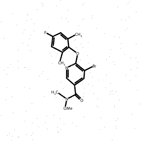 CON(C)C(=O)c1cnc(Oc2c(C)cc(F)cc2C)c(Br)c1